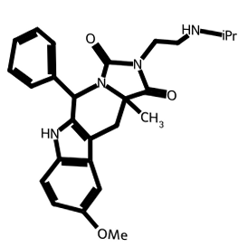 COc1ccc2[nH]c3c(c2c1)CC1(C)C(=O)N(CCNC(C)C)C(=O)N1C3c1ccccc1